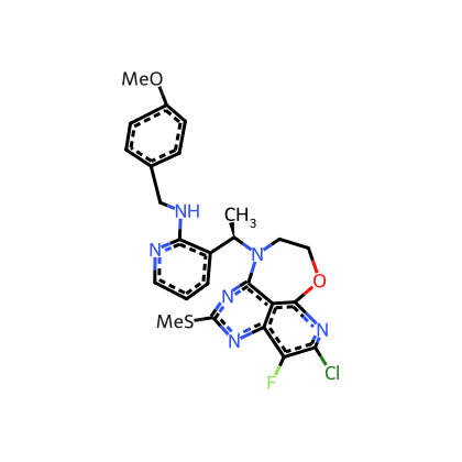 COc1ccc(CNc2ncccc2[C@@H](C)N2CCOc3nc(Cl)c(F)c4nc(SC)nc2c34)cc1